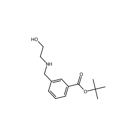 CC(C)(C)OC(=O)c1cccc(CNCCO)c1